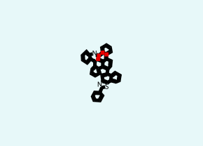 c1ccc(-c2nc(-c3ccccc3-c3c(-c4cc5nc(-c6ccccc6)sc5c5ccccc45)ccc4ccccc34)c3ccccc3n2)cc1